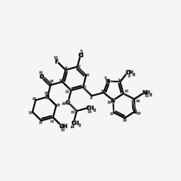 Cc1nc(Cc2cc(Cl)c(F)c(C(=O)N3CCC=C(O)C3)c2OC(C)C)n2ccnc(N)c12